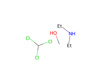 CCNCC.CO.ClC(Cl)Cl